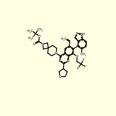 C=Cc1cc2c(N3CCC4(CC3)CN(C(=O)OC(C)(C)C)C4)nc(C3CCOC3)nc2c(OCC(F)(F)F)c1-c1c(C)ccc2[nH]ncc12